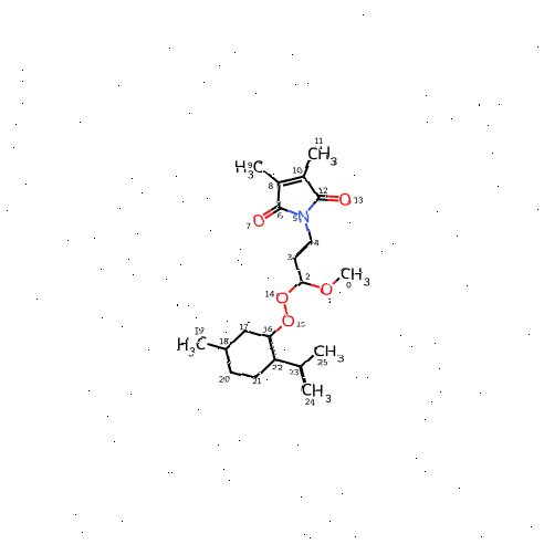 COC(CCN1C(=O)C(C)=C(C)C1=O)OOC1CC(C)CCC1C(C)C